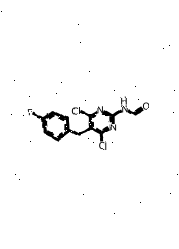 O=CNc1nc(Cl)c(Cc2ccc(F)cc2)c(Cl)n1